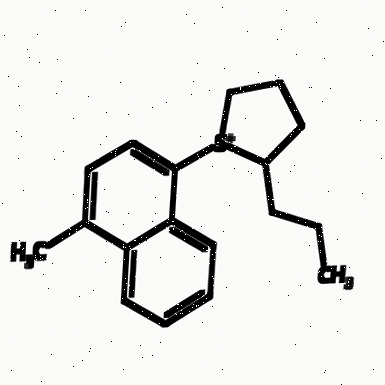 CCCC1CCC[S+]1c1ccc(C)c2ccccc12